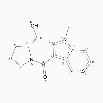 Cn1nc(C(=O)N2CCC[C@@H]2CO)c2ccccc21